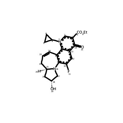 CCOC(=O)c1cn(C2CC2)c2c3c(c(F)cc2c1=O)N1C[C@H](O)C[C@H]1CC=C3